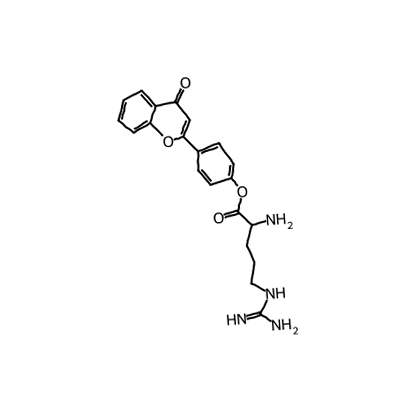 N=C(N)NCCCC(N)C(=O)Oc1ccc(-c2cc(=O)c3ccccc3o2)cc1